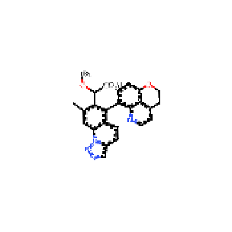 Cc1cc2c(ccc3cnnn32)c(-c2ccc3c4c(ccnc24)CCO3)c1C(OC(C)(C)C)C(=O)O